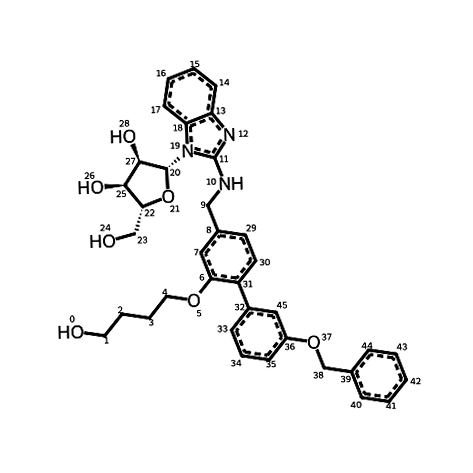 OCCCCOc1cc(CNc2nc3ccccc3n2[C@@H]2O[C@H](CO)[C@@H](O)[C@H]2O)ccc1-c1cccc(OCc2ccccc2)c1